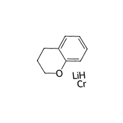 [Cr].[LiH].c1ccc2c(c1)CCCO2